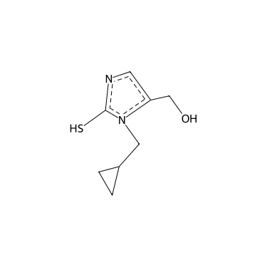 OCc1cnc(S)n1CC1CC1